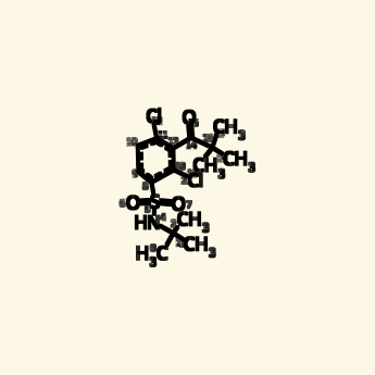 CC(C)(C)NS(=O)(=O)c1ccc(Cl)c(C(=O)C(C)(C)C)c1Cl